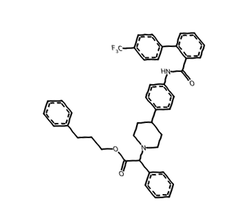 O=C(Nc1ccc(C2CCN(C(C(=O)OCCCc3ccccc3)c3ccccc3)CC2)cc1)c1ccccc1-c1ccc(C(F)(F)F)cc1